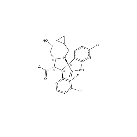 O=C1Nc2nc(Cl)ccc2[C@@]12[C@@H](c1cccc(Cl)c1F)[C@H]([N+](=O)[O-])[C@H](CCO)N2CC1CC1